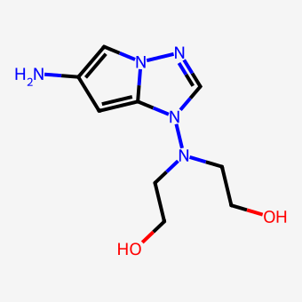 Nc1cc2n(N(CCO)CCO)cnn2c1